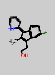 CC1=C(CCO)c2cc(F)ccc2C1=C1C=CC=CN1